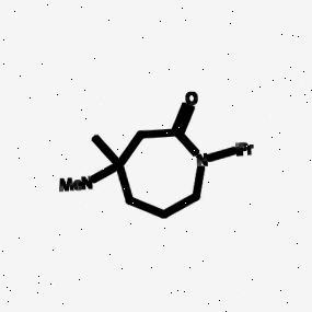 CNC1(C)CCCN(C(C)C)C(=O)C1